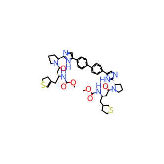 COC(=O)N[C@@H](CC(=O)N1CCC[C@H]1c1ncc(-c2ccc(-c3ccc(-c4cnc([C@@H]5CCCN5C(=O)C[C@@H](CC5CCSC5)NC(=O)OC)[nH]4)cc3)cc2)[nH]1)CC1=CSCC1